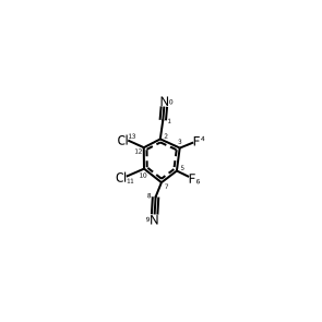 N#Cc1c(F)c(F)c(C#N)c(Cl)c1Cl